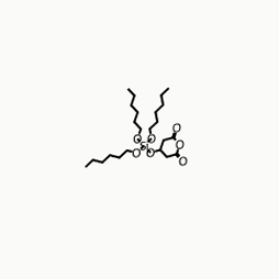 CCCCCCO[Si](OCCCCCC)(OCCCCCC)OC1CC(=O)OC(=O)C1